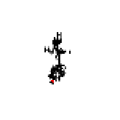 NC1(C(=O)N[C@@H](CCOCCCCCNC(=O)[C@H](NC(=O)c2cccc(C3CCCN(C(=O)C45CC(C4)C5)C3)c2)C2CCCCC2)c2ccc(Cl)cc2)CCN(c2ncnc3[nH]ccc23)CC1